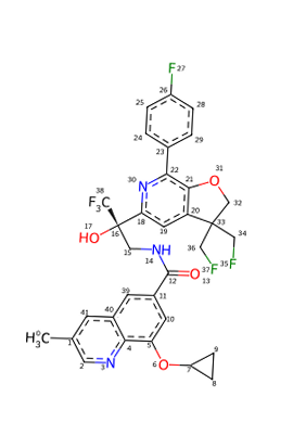 Cc1cnc2c(OC3CC3)cc(C(=O)NC[C@](O)(c3cc4c(c(-c5ccc(F)cc5)n3)OCC4(CF)CF)C(F)(F)F)cc2c1